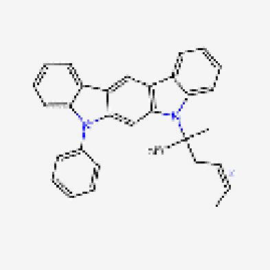 C/C=C\CC(C)(CCC)n1c2ccccc2c2cc3c4ccccc4n(-c4ccccc4)c3cc21